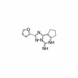 N=c1[nH]c2c(c3nc(-c4ccco4)nn13)CCC2